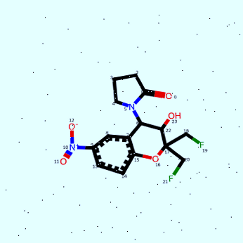 O=C1CCCN1C1c2cc([N+](=O)[O-])ccc2OC(CF)(CF)C1O